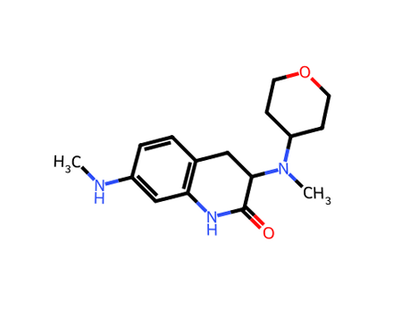 CNc1ccc2c(c1)NC(=O)C(N(C)C1CCOCC1)C2